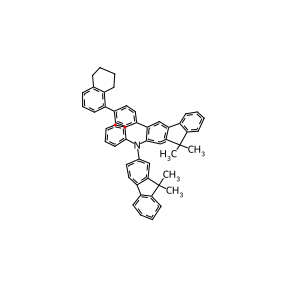 CC1(C)c2ccccc2-c2ccc(N(c3ccccc3)c3cc4c(cc3-c3ccc(-c5cccc6c5CCCC6)cc3)-c3ccccc3C4(C)C)cc21